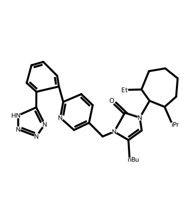 CCCCc1cn(C2C(CC)CCCCC2C(C)C)c(=O)n1Cc1ccc(-c2ccccc2-c2nnn[nH]2)nc1